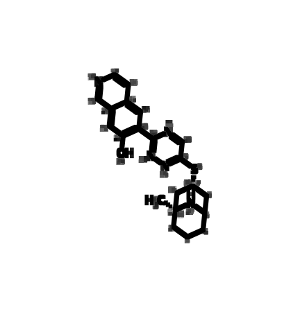 C[C@]12CCCC(C[C@@H](Sc3cnc(-c4cc5ccncc5cc4O)nn3)C1)N2